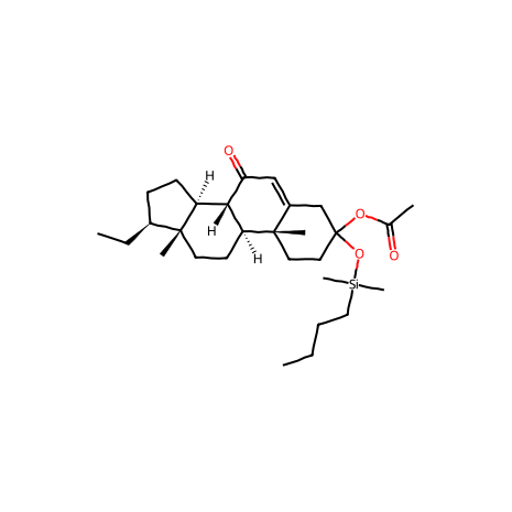 CCCC[Si](C)(C)OC1(OC(C)=O)CC[C@@]2(C)C(=CC(=O)[C@H]3[C@@H]4CC[C@H](CC)[C@@]4(C)CC[C@@H]32)C1